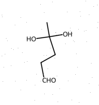 CC(O)(O)CCC=O